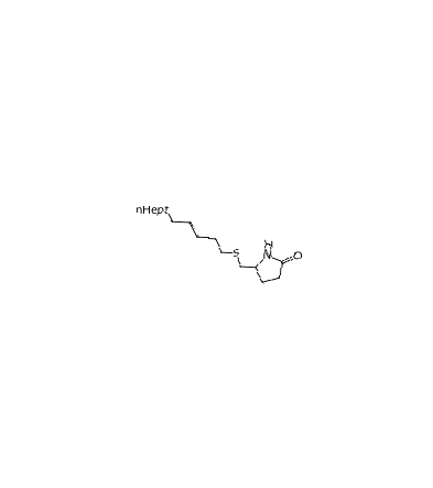 CCCCCCCCCCCCSCC1CCC(=O)N1